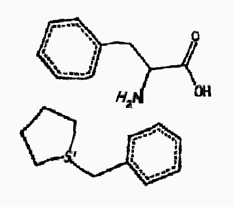 NC(Cc1ccccc1)C(=O)O.c1ccc(C[S+]2CCCC2)cc1